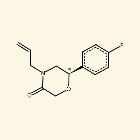 C=CCN1C[C@@H](c2ccc(F)cc2)OCC1=O